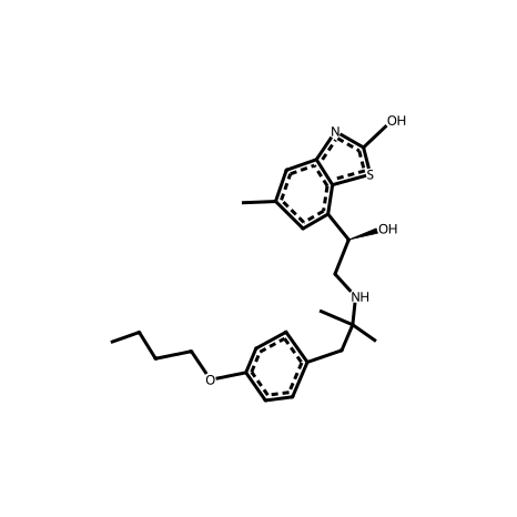 CCCCOc1ccc(CC(C)(C)NC[C@H](O)c2cc(C)cc3nc(O)sc23)cc1